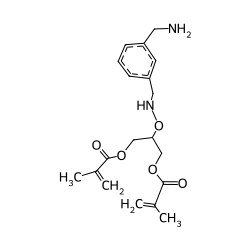 C=C(C)C(=O)OCC(COC(=O)C(=C)C)ONCc1cccc(CN)c1